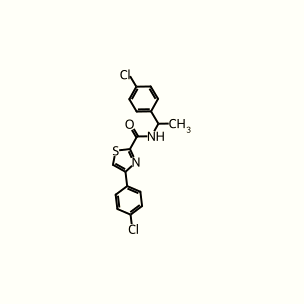 CC(NC(=O)c1nc(-c2ccc(Cl)cc2)cs1)c1ccc(Cl)cc1